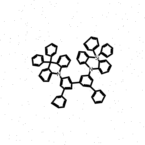 c1ccc(-c2cc(-c3cc(-c4ccccc4)cc(N4c5ccccc5[Si](c5ccccc5)(c5ccccc5)c5ccccc54)c3)cc(N3c4ccccc4C(c4ccccc4)(c4ccccc4)c4ccccc43)c2)cc1